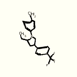 CCC1CC(c2ccc(C(F)(F)F)cc2)CN1c1ccc(C)cc1